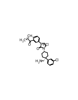 CN(C)C(=O)c1cccc(N2CCN([C@H]3CC[C@](CN)(c4cccc(Cl)c4)CC3)C2=O)c1.Cl